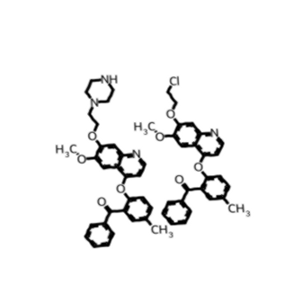 COc1cc2c(Oc3ccc(C)cc3C(=O)c3ccccc3)ccnc2cc1OCCCl.COc1cc2c(Oc3ccc(C)cc3C(=O)c3ccccc3)ccnc2cc1OCCN1CCNCC1